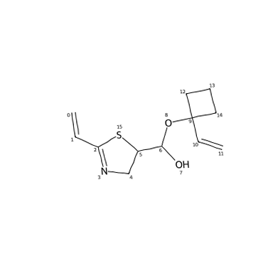 C=CC1=NCC(C(O)OC2(C=C)CCC2)S1